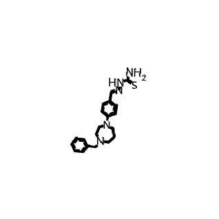 NC(=S)NN=Cc1ccc(N2CCCN(Cc3ccccc3)CC2)cc1